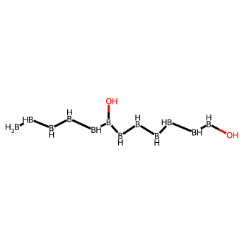 BBBBBB(O)BBBBBBO